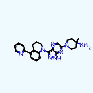 CC1(N)CCN(c2cnc3c(N4CCCc5c(-c6ccccn6)cccc54)n[nH]c3n2)CC1